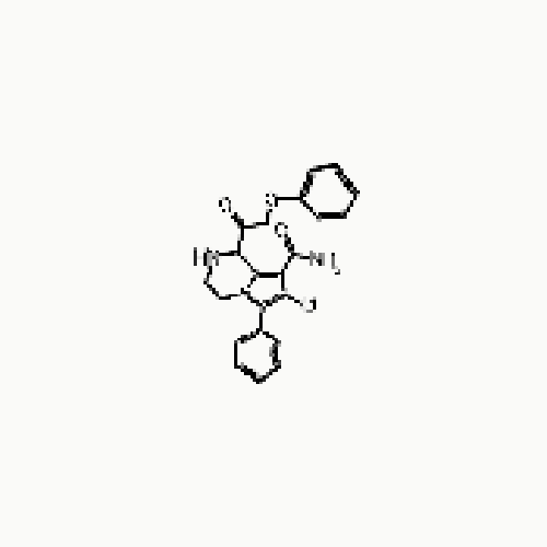 NC(=O)c1c(Cl)c(-c2ccccc2)n2c1C(C(=O)COc1ccccc1)NCC2